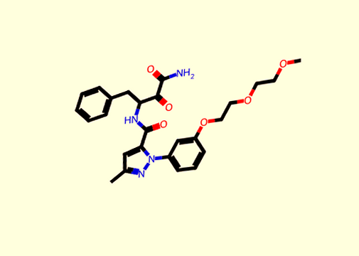 COCCOCCOc1cccc(-n2nc(C)cc2C(=O)NC(Cc2ccccc2)C(=O)C(N)=O)c1